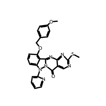 COc1ccc(COc2cccc3c2c2nc4nc(SC)ncc4c(=O)n2n3-c2ccccn2)cc1